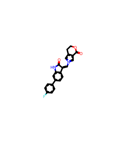 O=C1Nc2cc(-c3ccc(F)cc3)ccc2C1=Cn1cc2c(c1)C(=O)OCC2